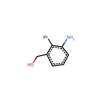 CC(C)c1c(N)cccc1[CH]O